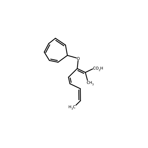 C\C=C/C=C\C(OC1C=CC=CC=C1)=C(/C)C(=O)O